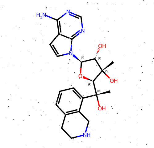 C[C@]1(O)[C@@H](O)[C@H](n2ccc3c(N)ncnc32)O[C@@H]1[C@](C)(O)c1cccc2c1CNCC2